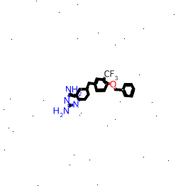 Nc1nc(N)c2c(n1)CCC(Cc1ccc(OCc3ccccc3)c(C(F)(F)F)c1)C2